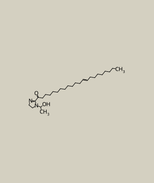 CCCCCCCCC=CCCCCCCCCCCCC(=O)C1=NCCN1C(C)O